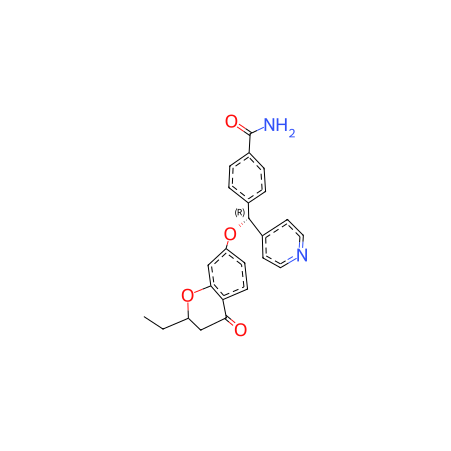 CCC1CC(=O)c2ccc(O[C@@H](c3ccncc3)c3ccc(C(N)=O)cc3)cc2O1